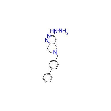 NNc1cc2c(nn1)CCN(Cc1ccc(-c3ccccc3)cc1)C2